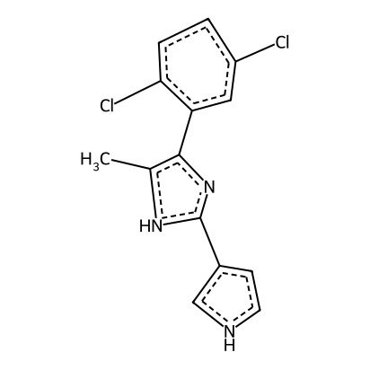 Cc1[nH]c(-c2cc[nH]c2)nc1-c1cc(Cl)ccc1Cl